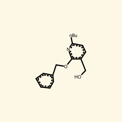 CCCCc1ccc(CO)c(OCc2ccccc2)n1